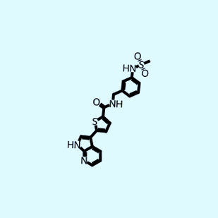 CS(=O)(=O)Nc1cccc(CNC(=O)c2ccc(-c3c[nH]c4ncccc34)s2)c1